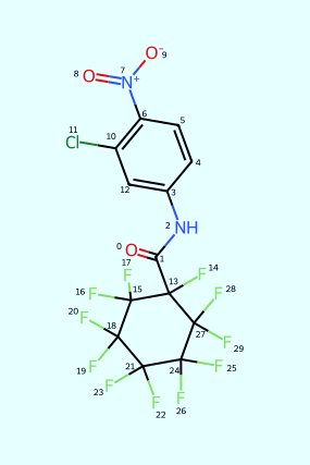 O=C(Nc1ccc([N+](=O)[O-])c(Cl)c1)C1(F)C(F)(F)C(F)(F)C(F)(F)C(F)(F)C1(F)F